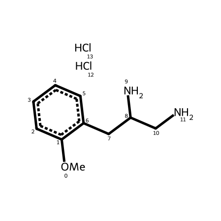 COc1ccccc1CC(N)CN.Cl.Cl